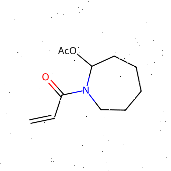 C=CC(=O)N1CCCCCC1OC(C)=O